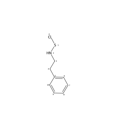 ClSNCCc1ccccc1